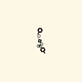 Cc1ccc(S(=O)O[C@H]2C[C@@H](COCc3ccccc3)C2)cc1